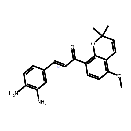 COc1ccc(C(=O)/C=C/c2ccc(N)c(N)c2)c2c1C=CC(C)(C)O2